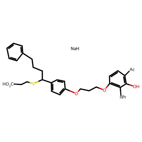 CCCc1c(OCCCOc2ccc(C(CCCc3ccccc3)SCCC(=O)O)cc2)ccc(C(C)=O)c1O.[NaH]